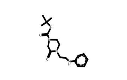 CC(C)(C)OC(=O)N1CCN(CCNc2ccccc2)C(=O)C1